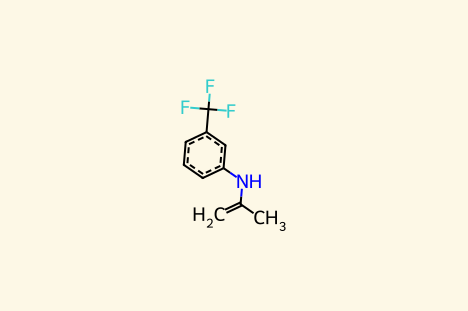 C=C(C)Nc1cccc(C(F)(F)F)c1